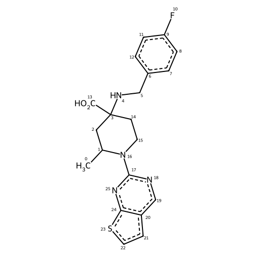 CC1CC(NCc2ccc(F)cc2)(C(=O)O)CCN1c1ncc2ccsc2n1